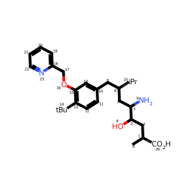 CC(CC(O)C(N)CC(Cc1ccc(C(C)(C)C)c(OCc2ccccn2)c1)C(C)C)C(=O)O